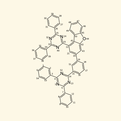 c1ccc(-c2nc(-c3ccccc3)nc(-c3cccc(-c4cc(-c5nc(-c6ccccc6)nc(-c6ccccc6)n5)c5c(c4)oc4ccccc45)c3)n2)cc1